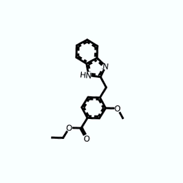 CCOC(=O)c1ccc(Cc2nc3ccccc3[nH]2)c(OC)c1